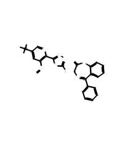 C=Nc1cc(C(F)(F)F)cnc1-c1nnc(N[C@H]2N=C(c3ccccc3)c3ccccc3NC2=O)o1